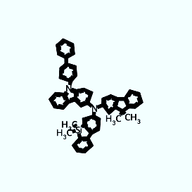 CC1(C)c2ccccc2-c2ccc(N(c3ccc4c(c3)[Si](C)(C)c3ccccc3-4)c3ccc4c(c3)c3ccccc3n4-c3ccc(-c4ccccc4)cc3)cc21